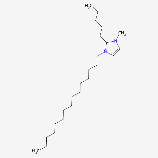 CCCCCCCCCCCCCCCN1C=CN(C)C1CCCCC